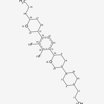 CCCC1CCC(C2CCC(c3ccc(C4CCC(CCC)OC4)c(F)c3F)OC2)CC1